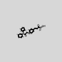 O=C(C=Cc1ccc(NCC(=O)N(c2ccccc2)c2ccccc2)cc1)NO